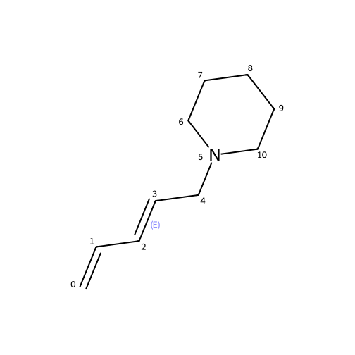 C=C/C=C/CN1CCCCC1